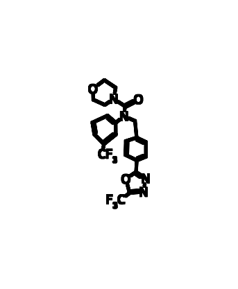 O=C(N1CCOCC1)N(Cc1ccc(-c2nnc(C(F)(F)F)o2)cc1)c1cccc(C(F)(F)F)c1